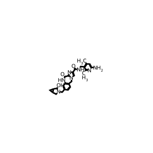 Cc1cc(N)nc(C)c1CNC(=O)c1cn2c(n1)C(=O)Nc1cc(CN3CC4CC4C3O)ccc1C2